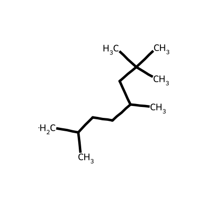 [CH2]C(C)CCC(C)CC(C)(C)C